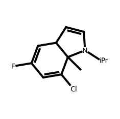 CC(C)N1C=CC2C=C(F)C=C(Cl)C21C